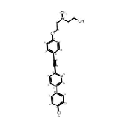 CN(CCO)CCOc1ccc(C#Cc2ccc(-c3ccc(Cl)cc3)cn2)cc1